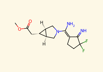 COC(=O)C[C@@H]1[C@H]2CN(/C(N)=C3\CCC(F)(F)C3=N)C[C@@H]12